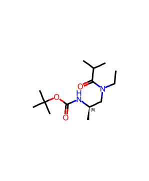 CCN(C[C@@H](C)NC(=O)OC(C)(C)C)C(=O)C(C)C